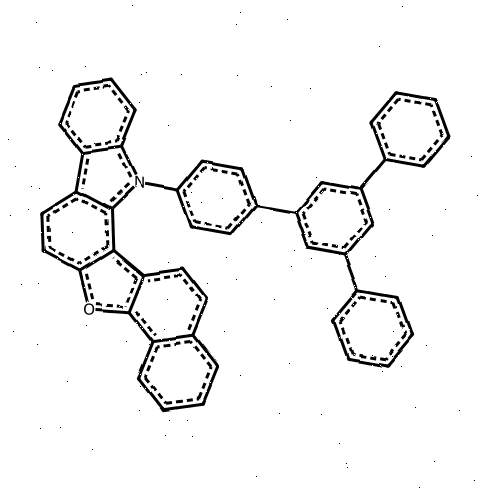 c1ccc(-c2cc(-c3ccccc3)cc(-c3ccc(-n4c5ccccc5c5ccc6oc7c8ccccc8ccc7c6c54)cc3)c2)cc1